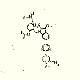 CCN(Cc1ccc(OC(F)F)c(Cn2c3cc(-c4cnc(N5CCN(C(C)=O)C(C)C5)nc4)ccc3c(=O)n2C)c1)C(C)=O